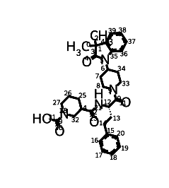 CC1(C)C(=O)N(C2CCN(C(=O)[C@H](CCc3ccccc3)NC(=O)C3CCCN(C(=O)O)C3)CC2)c2ccccc21